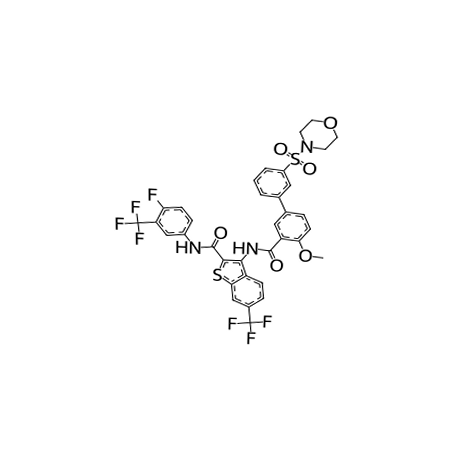 COc1ccc(-c2cccc(S(=O)(=O)N3CCOCC3)c2)cc1C(=O)Nc1c(C(=O)Nc2ccc(F)c(C(F)(F)F)c2)sc2cc(C(F)(F)F)ccc12